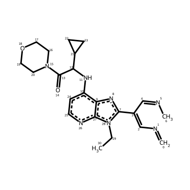 C=N/C=C(\C=N/C)c1nc2c(NC(C(=O)N3CCOCC3)C3CC3)ccnc2n1CC